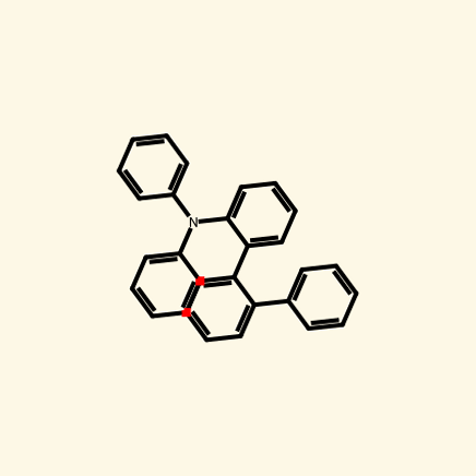 c1ccc(-c2ccccc2-c2ccccc2N(c2ccccc2)c2ccccc2)cc1